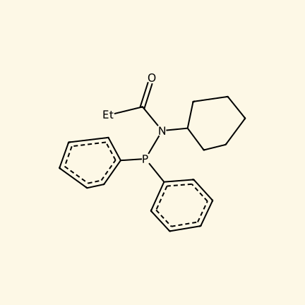 CCC(=O)N(C1CCCCC1)P(c1ccccc1)c1ccccc1